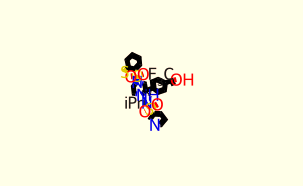 CC(C)N(C[C@@]1(c2ccc(C(C)(O)C(F)(F)F)cc2)CN(S(=O)(=O)C2=CC=CCC2=S)CCN1)S(=O)(=O)c1cccnc1